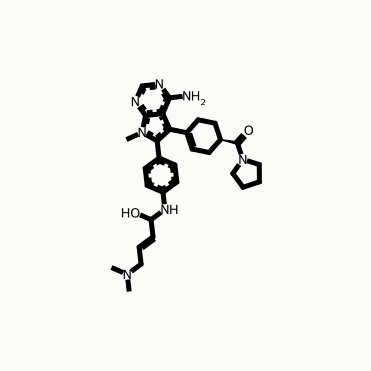 CN(C)C/C=C/C(O)Nc1ccc(-c2c(C3=CC[C@H](C(=O)N4CCCC4)CC3)c3c(N)ncnc3n2C)cc1